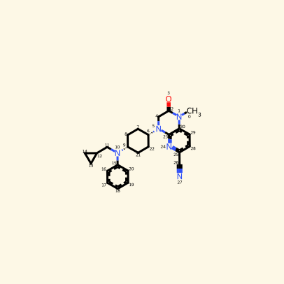 CN1C(=O)CN([C@H]2CC[C@@H](N(CC3CC3)c3ccccc3)CC2)c2nc(C#N)ccc21